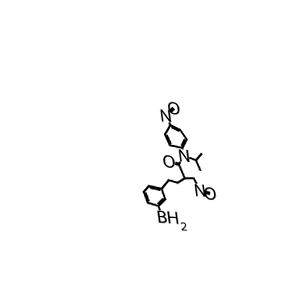 Bc1cccc(CCC(CN=O)C(=O)N(c2ccc(N=O)cc2)C(C)C)c1